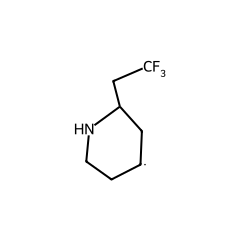 FC(F)(F)CC1C[CH]CCN1